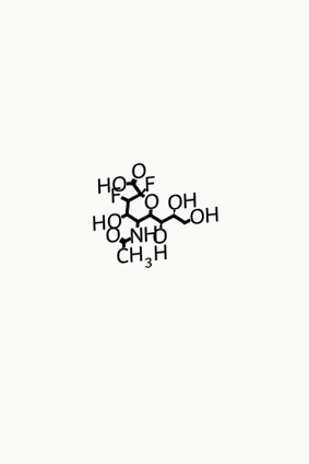 CC(=O)NC1C(O)C(F)[C@](F)(C(=O)O)OC1[C@H](O)[C@H](O)CO